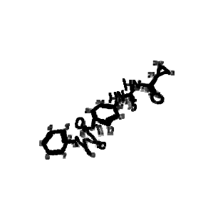 CN(c1ccccc1)S(=O)(=O)c1ccc(NC(=S)NC(=O)C2CC2)cc1